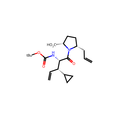 C=CC[C@H]1CC[C@@H](C(=O)O)N1C(=O)[C@@H](NC(=O)OC(C)(C)C)[C@@H](C=C)C1CC1